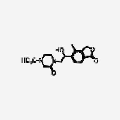 Cc1c(C(O)CN2CCN(C(=O)O)CC2=O)ccc2c1COC2=O